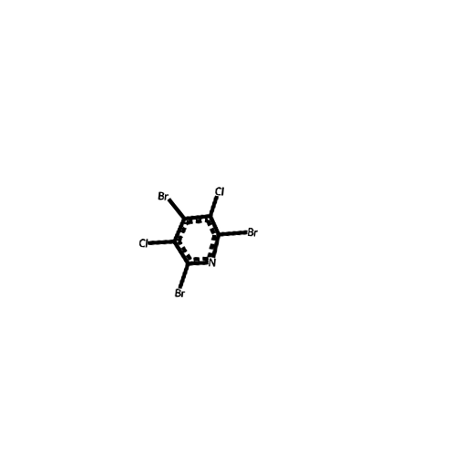 Clc1c(Br)nc(Br)c(Cl)c1Br